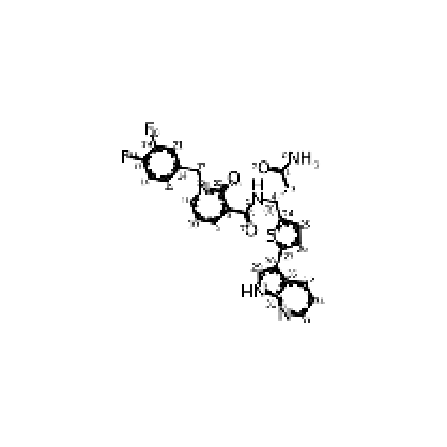 NC(=O)C[C@@H](NC(=O)c1cccn(Cc2ccc(F)c(F)c2)c1=O)c1ccc(-c2c[nH]c3ncccc23)s1